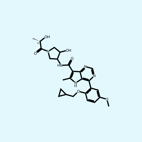 COc1ccc(OCC2CC2)c(-c2ncnc3c(C(=O)NC4CN(C(=O)[C@H](C)O)CC4O)c(C)[nH]c23)c1